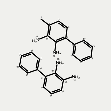 Cc1ccc(-c2ccccc2)c(N)c1N.Nc1cccc(-c2ccccc2)c1N